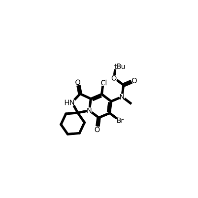 CN(C(=O)OC(C)(C)C)c1c(Cl)c2n(c(=O)c1Br)C1(CCCCC1)NC2=O